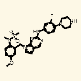 COc1ccc(N(C)S(C)(=O)=O)c(Cn2ccc3cnc(Nc4ccc(N5CCNCC5)c(F)c4)nc32)c1